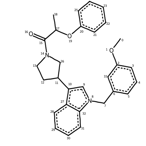 COc1cccc(Cn2cc(C3CCN(C(=O)C(C)Oc4ccccc4)C3)c3ccccc32)c1